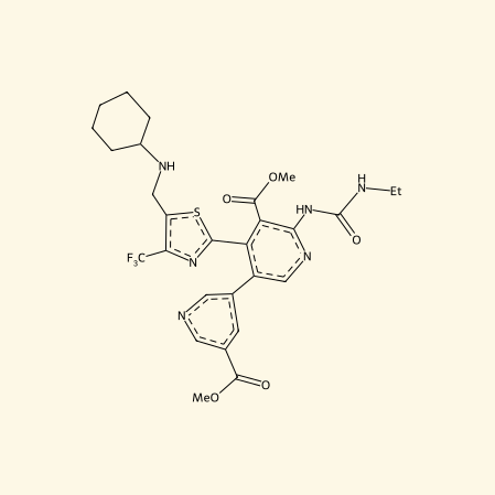 CCNC(=O)Nc1ncc(-c2cncc(C(=O)OC)c2)c(-c2nc(C(F)(F)F)c(CNC3CCCCC3)s2)c1C(=O)OC